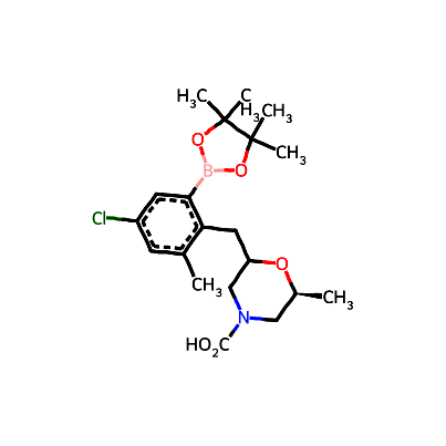 Cc1cc(Cl)cc(B2OC(C)(C)C(C)(C)O2)c1CC1CN(C(=O)O)C[C@H](C)O1